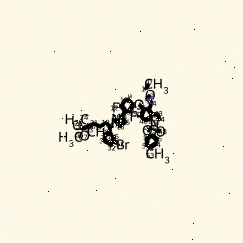 CCO/C=C/c1c(Oc2ccc(F)c(-c3ccn(C(CCCC(C)(C)C(=O)OC)c4cccc(Br)c4)n3)c2)c(F)cc2c1ccn2S(=O)(=O)c1ccc(C)cc1